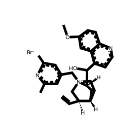 C=C[C@H]1C[N+]2(Cc3cc(C)nc(C)c3)CC[C@H]1C[C@H]2C(O)c1ccnc2ccc(OC)cc12.[Br-]